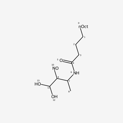 CCCCCCCCCCCC(=O)NC(C)C(N=O)C(O)O